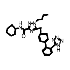 CCCCn1nc(C(=O)NC2CCCCC2)nc1Cc1ccc(-c2ccccc2-c2nnn[nH]2)cc1